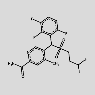 Cc1cc(C(N)=O)ncc1C(c1c(F)ccc(F)c1F)S(=O)(=O)CCC(F)F